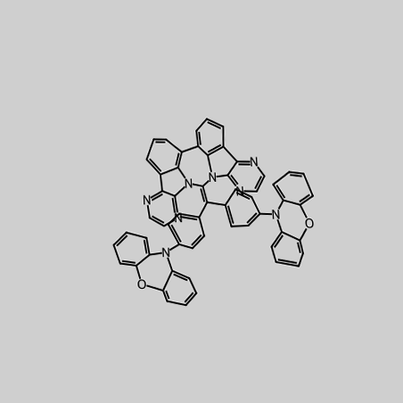 c1ccc2c(c1)Oc1ccccc1N2c1ccc(C(c2ccc(N3c4ccccc4Oc4ccccc43)cc2)=c2n3c4nccnc4c4cccc(c5cccc6c7nccnc7n2c56)c43)cc1